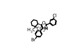 C[C@@]1(C(=O)O)CCCC[C@H]1c1oc(-c2cccc(Cl)c2)nc1-c1ccc(Br)cc1